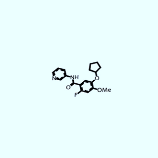 COc1cc(F)c(C(=O)Nc2cccnc2)cc1OC1CCCC1